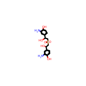 Nc1cc(C(O)CS(=O)(=O)CC(O)c2ccc(O)c(N)c2)ccc1O